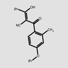 Cc1cc(OC(C)C)ccc1C(=O)/C(C#N)=C(\O)C(C)C